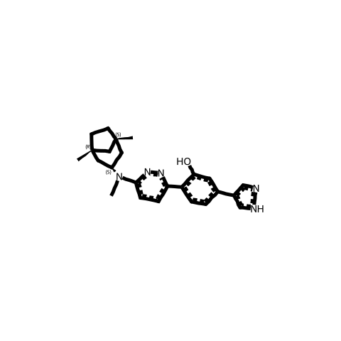 CN(c1ccc(-c2ccc(-c3cn[nH]c3)cc2O)nn1)[C@@H]1C[C@]2(C)CC[C@](C)(C1)C2